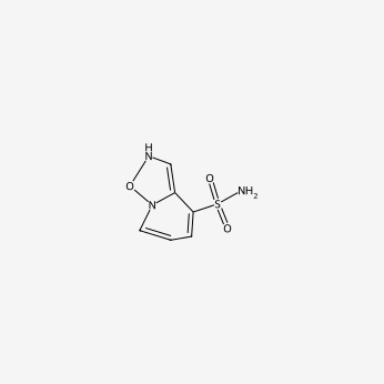 NS(=O)(=O)C1=CC=CN2ONC=C12